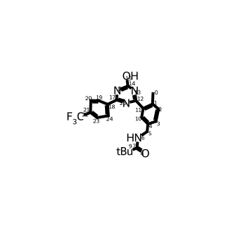 Cc1ccc(CNC(=O)C(C)(C)C)cc1-c1nc(O)nc(-c2ccc(C(F)(F)F)cc2)n1